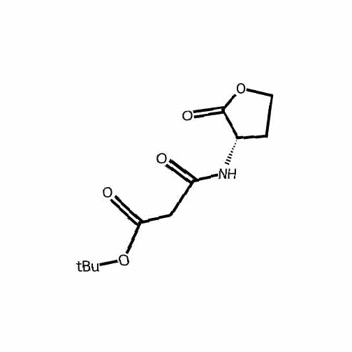 CC(C)(C)OC(=O)CC(=O)N[C@H]1CCOC1=O